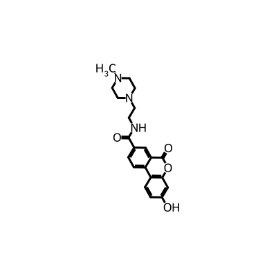 CN1CCN(CCNC(=O)c2ccc3c(c2)c(=O)oc2cc(O)ccc23)CC1